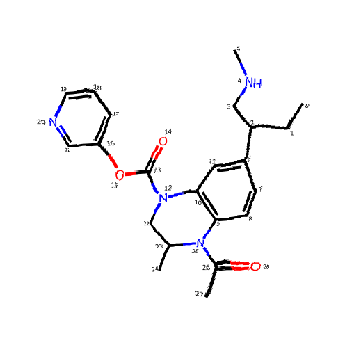 CCC(CNC)c1ccc2c(c1)N(C(=O)Oc1cccnc1)CC(C)N2C(C)=O